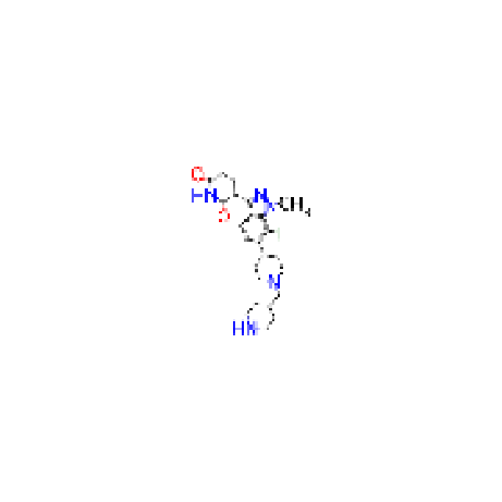 Cn1nc(C2CCC(=O)NC2=O)c2ccc(C3CCN(CC4CCNCC4)CC3)c(F)c21